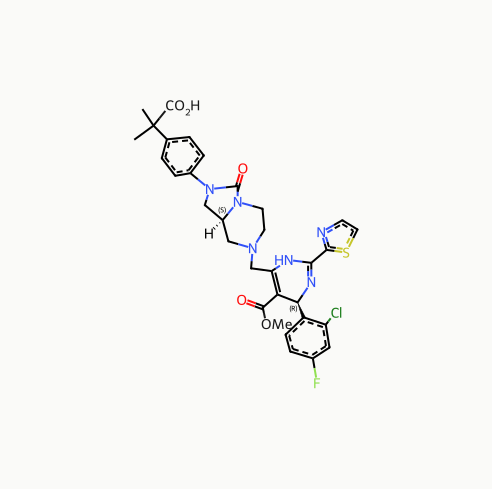 COC(=O)C1=C(CN2CCN3C(=O)N(c4ccc(C(C)(C)C(=O)O)cc4)C[C@@H]3C2)NC(c2nccs2)=N[C@H]1c1ccc(F)cc1Cl